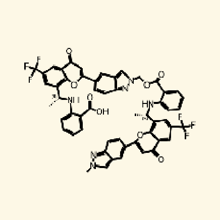 C[C@H](Nc1ccccc1C(=O)OCn1cc2cc(-c3cc(=O)c4cc(C(F)(F)F)cc([C@@H](C)Nc5ccccc5C(=O)O)c4o3)ccc2n1)c1cc(C(F)(F)F)cc2c(=O)cc(-c3ccc4nn(C)cc4c3)oc12